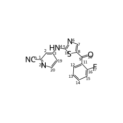 N#Cc1cc(Nc2ncc(C(=O)c3ccccc3F)s2)ccn1